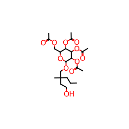 CCCC(C)(CCO)COC1OC(COC(C)=O)[C@@H](OC(C)=O)C(OC(C)=O)[C@H]1OC(C)=O